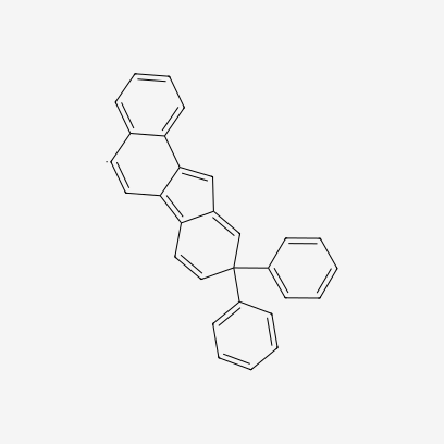 [c]1cc2c(c3ccccc13)=CC1=CC(c3ccccc3)(c3ccccc3)C=CC=21